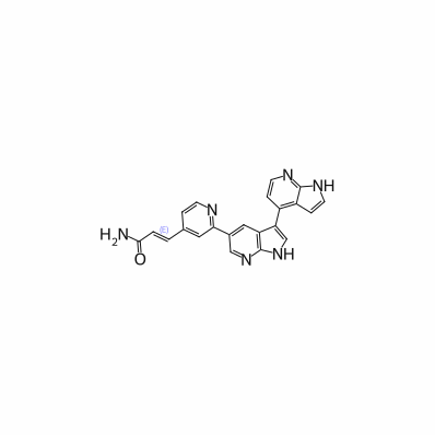 NC(=O)/C=C/c1ccnc(-c2cnc3[nH]cc(-c4ccnc5[nH]ccc45)c3c2)c1